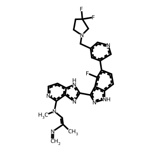 C=N/C(C)=C\N(C)c1nccc2[nH]c(-c3n[nH]c4ccc(-c5cncc(CN6CCC(F)(F)C6)c5)c(F)c34)nc12